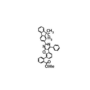 COC(=O)c1ccccc1-c1cccc2c1oc1nc(-c3ccc4c(c3)C(C)(C)c3ccccc3-4)nc(-c3ccccc3)c12